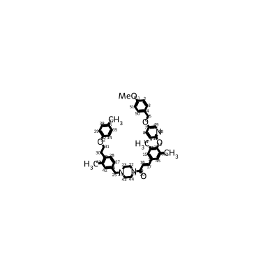 COc1ccc(COc2ccc(Oc3c(C)cc(C=CC(=O)N4CCN(Cc5ccc(CCOc6ccc(C)cc6)c(C)c5)CC4)cc3C)nc2)cc1